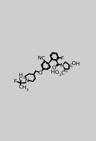 CC(C)(F)CN1CCC(COc2ccc(-c3cccc(F)c3C(=O)N3C[C@H](O)C[C@H]3C(=O)O)c(C#N)c2)CC1